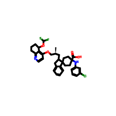 C[C@@H](COc1ccnc2c1C(OC(F)F)CCC2)CC1Cc2ccccc2C12CCC(Nc1cccc(Cl)c1)(C(=O)O)CC2